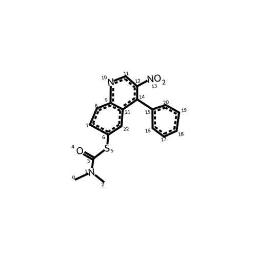 CN(C)C(=O)Sc1ccc2ncc([N+](=O)[O-])c(-c3ccccc3)c2c1